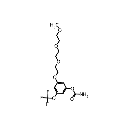 COCCOCCOCCOc1cc(OC(N)=O)cc(OC(F)(F)F)c1